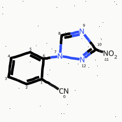 N#Cc1ccccc1-n1cnc([N+](=O)[O-])n1